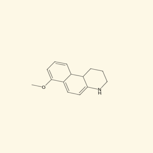 COC1=CC=CC2C1=CC=C1NCCCC12